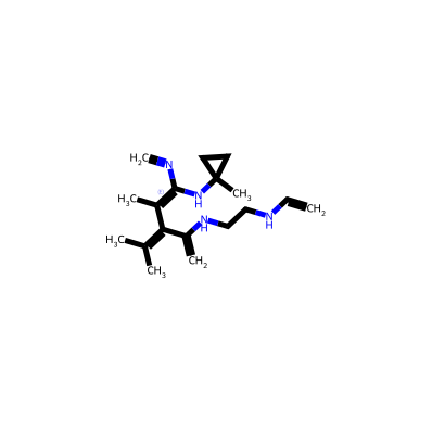 C=CNCCNC(=C)C(=C(C)C)/C(C)=C(/N=C)NC1(C)CC1